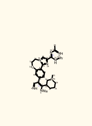 CN/C(=C(\C=N)c1ccc2c(c1)OCCn1cc(/C(=N/C(C)=N)NC(C)C)nc1-2)C1CCCN(C)C1